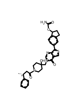 C[C@H](CC(=O)N1CCC(O)(Cn2cnc3c(-c4ccc5c(c4)CCC5OC(N)=O)scc3c2=O)CC1)c1ccccc1